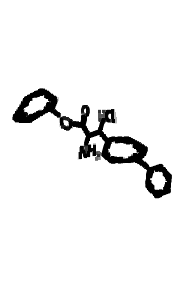 CC(c1ccc(-c2ccccc2)cc1)C(N)C(=O)Oc1ccccc1.Cl